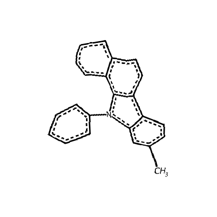 Cc1ccc2c3ccc4ccccc4c3n(-c3ccccc3)c2c1